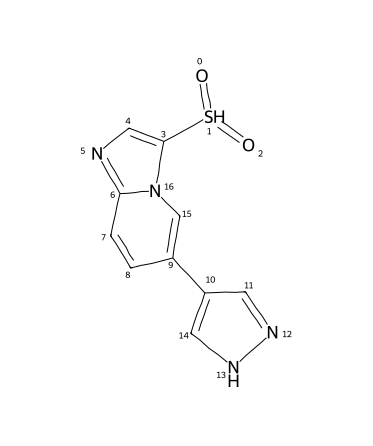 O=[SH](=O)c1cnc2ccc(-c3cn[nH]c3)cn12